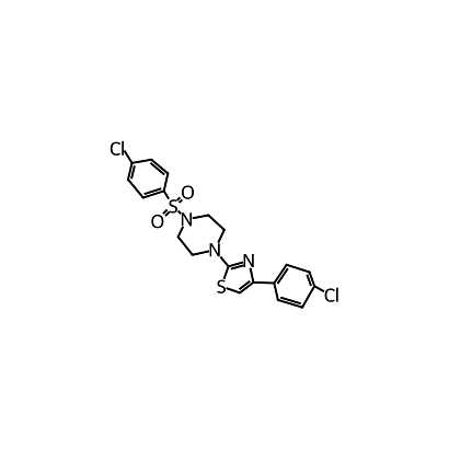 O=S(=O)(c1ccc(Cl)cc1)N1CCN(c2nc(-c3ccc(Cl)cc3)cs2)CC1